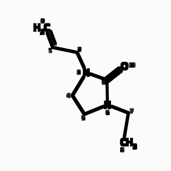 C=CCN1CCN(CC)C1=O